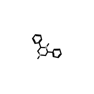 CN1CC(c2ccccc2)N(C)C(c2ccccc2)C1